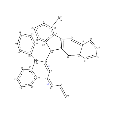 C=C/C=C\C=C(\C1C2=C(C=C3C=CC=CC3C2)c2c(Br)cccc21)N(c1ccccc1)c1ccccc1